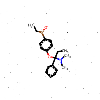 CC[S+]([O-])c1ccc(OC(CC)(c2ccccc2)N(C)C)cc1